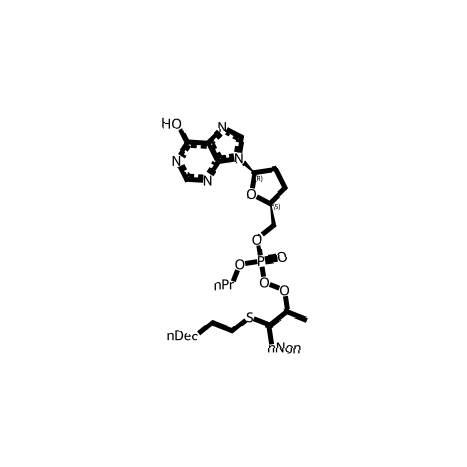 CCCCCCCCCCCCSC(CCCCCCCCC)C(C)OOP(=O)(OCCC)OC[C@@H]1CC[C@H](n2cnc3c(O)ncnc32)O1